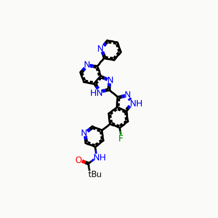 CC(C)(C)C(=O)Nc1cncc(-c2cc3c(-c4nc5c(-c6ccccn6)nccc5[nH]4)n[nH]c3cc2F)c1